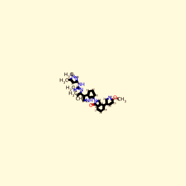 C=N/C(=N\C(=C(C)C)c1c[nH]c2c(N3Cc4c(cccc4-c4ccc(OC)nc4)C3=O)cccc12)Nc1cc(C)n(C)n1